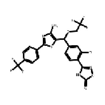 Cc1nc(-c2ccc(C(F)(F)F)cc2)sc1C(OCC(F)(F)F)c1ccc(-c2noc(=O)[nH]2)c(Cl)c1